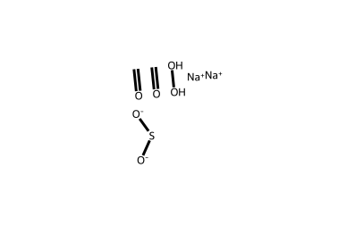 C=O.C=O.OO.[Na+].[Na+].[O-]S[O-]